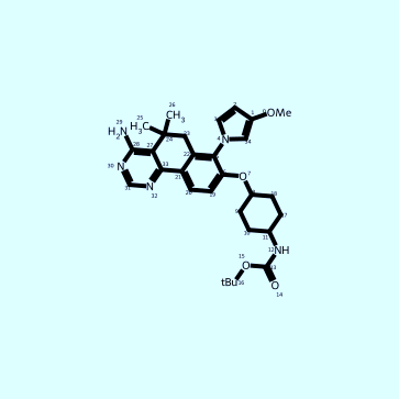 COc1ccn(-c2c(OC3CCC(NC(=O)OC(C)(C)C)CC3)ccc3c2CC(C)(C)c2c(N)ncnc2-3)c1